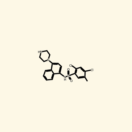 Cc1cc(S(=O)(=O)Nc2ccc(N3CCNCC3)c3ccccc23)c(Cl)cc1Cl